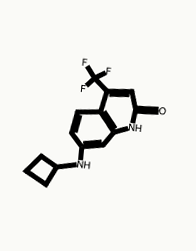 O=c1cc(C(F)(F)F)c2ccc(NC3CCC3)cc2[nH]1